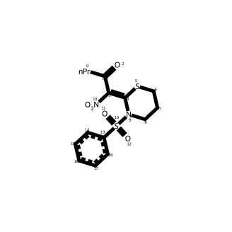 CCCC(=O)/C(=C1\SCCCN1S(=O)(=O)c1ccccc1)[N+](=O)[O-]